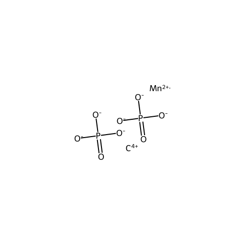 O=P([O-])([O-])[O-].O=P([O-])([O-])[O-].[C+4].[Mn+2]